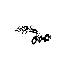 O=C1CCC(N2Cc3cc(O[C@H]4CCCCC4N4CC(c5ccncc5)C4)ccc3C2=O)C(=O)N1